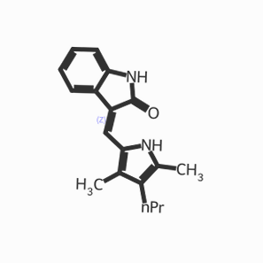 CCCc1c(C)[nH]c(/C=C2\C(=O)Nc3ccccc32)c1C